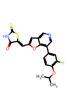 CC(C)Oc1ccc(-c2cncc3cc(/C=C4\SC(=S)NC4=O)oc23)cc1F